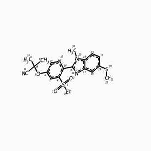 CCS(=O)(=O)c1cc(OC(C)(C)C#N)cnc1-c1nc2cc(SC(F)(F)F)ccc2n1C